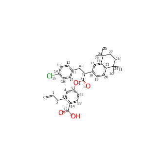 C=CCc1cc(OC(=O)C(Cc2ccc(Cl)cc2)c2ccc3c(c2)C(C)(C)CCC3(C)C)ccc1C(=O)O